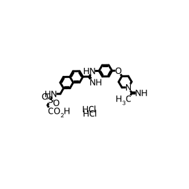 CC(=N)N1CCC(Oc2ccc(NC(=N)c3ccc4ccc(CNS(=O)(=O)CC(=O)O)cc4c3)cc2)CC1.Cl.Cl